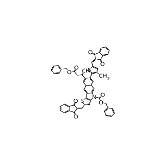 C=C(CC(=O)OCc1ccccc1)C1=CC2C=c3c(n(C(=O)OCc4ccccc4)c4cc(C=C5C(=O)c6ccccc6C5=O)sc34)=CC2C=C1c1sc(C=C2C(=O)c3ccccc3C2=O)cc1C